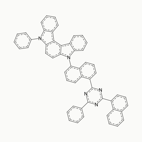 c1ccc(-c2nc(-c3cccc4ccccc34)nc(-c3cccc4c(-n5c6ccccc6c6c7c8ccccc8n(-c8ccccc8)c7ccc65)cccc34)n2)cc1